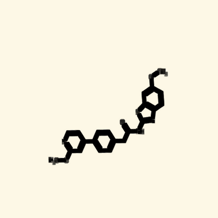 COc1ccc2nc(NC(=O)Cc3ccc(-c4ccnc(OC)c4)cc3)sc2c1